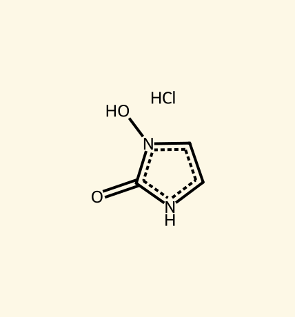 Cl.O=c1[nH]ccn1O